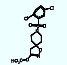 O=C(O)OC1=NOC2(CCN(S(=O)(=O)c3cc(Cl)ccc3Cl)CC2)C1